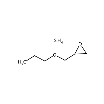 [CH2]CCOCC1CO1.[SiH4]